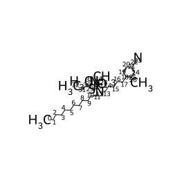 CCCCCCCCCCCCN(CCCCCc1ccc(C#N)cc1C)P(=O)(SCCC)N(C)C